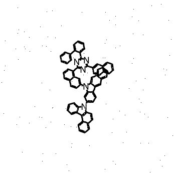 c1ccc(-c2ccccc2-c2nc(-c3ccc4ccccc4c3)nc(-c3cccc4ccc(-n5c6cc(-n7c8ccccc8c8c9ccccc9ccc87)ccc6c6cc7ccccc7cc65)cc34)n2)cc1